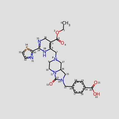 CCOC(=O)C1=C(CN2CCN3C(=O)N(Cc4ccc(C(=O)O)cc4)CC3C2)NC(c2nccs2)=NC1